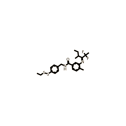 CCSSc1ccc(CNC(=O)c2ccc(C)c(/N=C(\C(C)CC)C(C)(F)F)c2)cc1